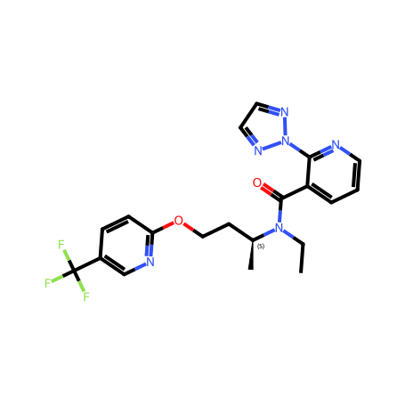 CCN(C(=O)c1cccnc1-n1nccn1)[C@@H](C)CCOc1ccc(C(F)(F)F)cn1